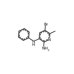 Cc1nc(N)c(Nc2ccccc2)cc1Br